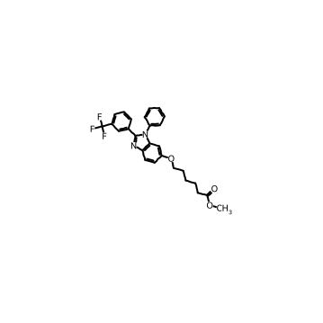 COC(=O)CCCCCOc1ccc2nc(-c3cccc(C(F)(F)F)c3)n(-c3ccccc3)c2c1